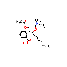 CCCCCCC(CCOC(C)=O)OCN(C)C.O=C(O)c1ccccc1